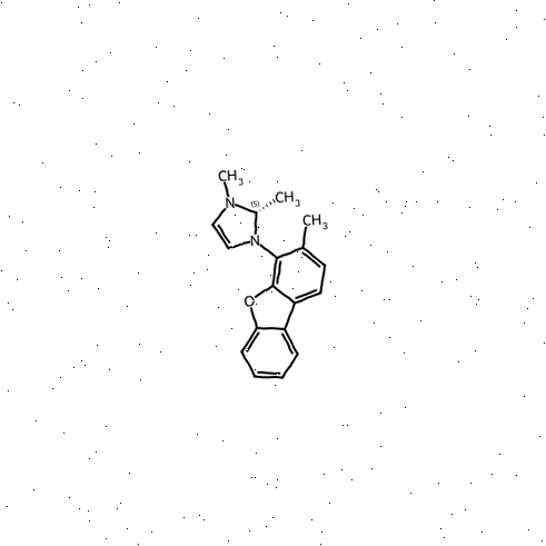 Cc1ccc2c(oc3ccccc32)c1N1C=CN(C)[C@@H]1C